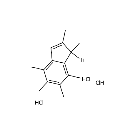 CC1=Cc2c(C)c(C)c(C)c(C)c2[C]1(C)[Ti].Cl.Cl.Cl